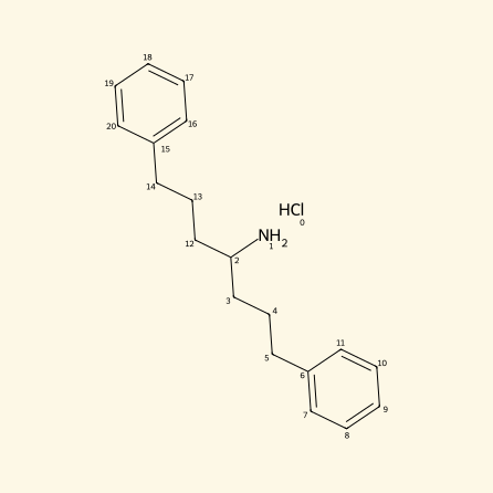 Cl.NC(CCCc1ccccc1)CCCc1ccccc1